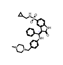 CN1CCN(Cc2ccc(N/C(=C3\C(=O)Nc4ccc(S(=O)(=O)NCC5CC5)cc43)c3ccccc3)cc2)CC1